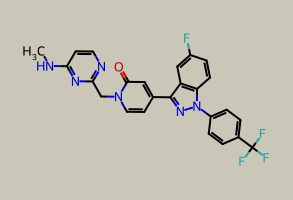 CNc1ccnc(Cn2ccc(-c3nn(-c4ccc(C(F)(F)F)cc4)c4ccc(F)cc34)cc2=O)n1